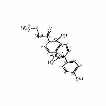 CC(C)=C(/C=C\c1c(C)cnc(C(=O)NCC(=O)O)c1O)c1ccc(C(C)(C)C)cc1